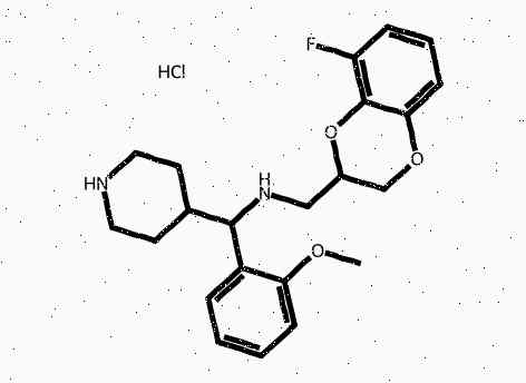 COc1ccccc1C(NCC1COc2cccc(F)c2O1)C1CCNCC1.Cl